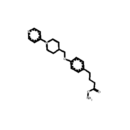 NOC(=O)CCCc1ccc(OCC2CCN(c3ccncc3)CC2)cc1